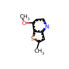 COc1ccnc2cc(C)sc12